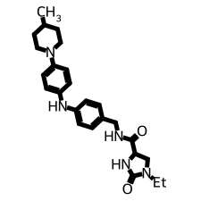 CCN1CC(C(=O)NCc2ccc(Nc3ccc(N4CCC(C)CC4)cc3)cc2)NC1=O